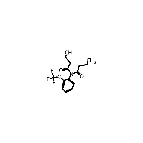 CCCC(=O)N(C(=O)CCC)c1ccccc1OC(F)(F)F